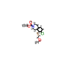 CC(C)OCCSc1c(Cl)ccc2c1CCN(C(=O)OC(C)(C)C)CC2